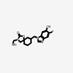 CC(C)(C)CN1CC2(CCCC(Cn3cnc4cc(F)c(C#N)cc43)C2)OC1=O